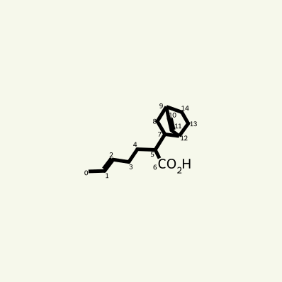 CC=CCCC(C(=O)O)C1CC2C=CC1CC2